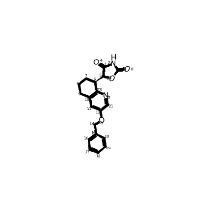 O=C1NC(=O)C([C@@H]2CCCc3cc(OCc4ccccc4)cnc32)O1